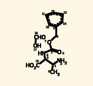 CC(N)C(NC(=O)OCc1ccccc1)C(=O)O.O=CO